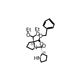 CCOC(OCC)[C@]1(C(=O)OCc2ccccc2)CCCN1C(=O)[C@@H]1CCCN1